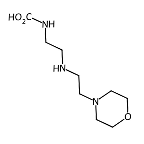 O=C(O)NCCNCCN1CCOCC1